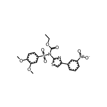 CCOC(=O)N(c1nc(-c2cccc([N+](=O)[O-])c2)cs1)S(=O)(=O)c1ccc(OC)c(OC)c1